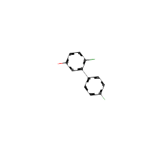 Oc1ccc(F)c(-c2ccc(F)cc2)c1